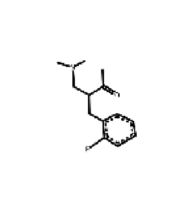 CC(=O)C(Cc1ccccc1F)CN(C)C